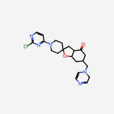 O=C1CC(CN2C=CN=CC2)CC2OC3(CCN(c4ccnc(Cl)n4)CC3)CC12